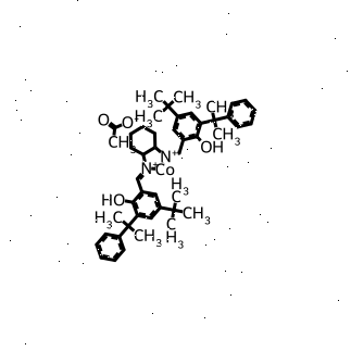 CC(=O)[O-].CC(C)(C)c1cc(C=[N+]2[Co][N+](=Cc3cc(C(C)(C)C)cc(C(C)(C)c4ccccc4)c3O)C3CCCCC32)c(O)c(C(C)(C)c2ccccc2)c1